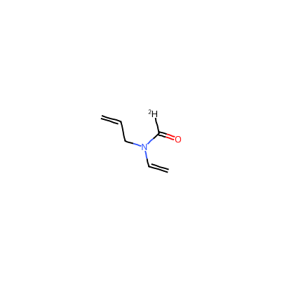 [2H]C(=O)N(C=C)CC=C